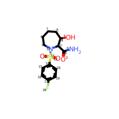 NC(=O)C1C(O)[CH]CCCN1S(=O)(=O)c1ccc(F)cc1